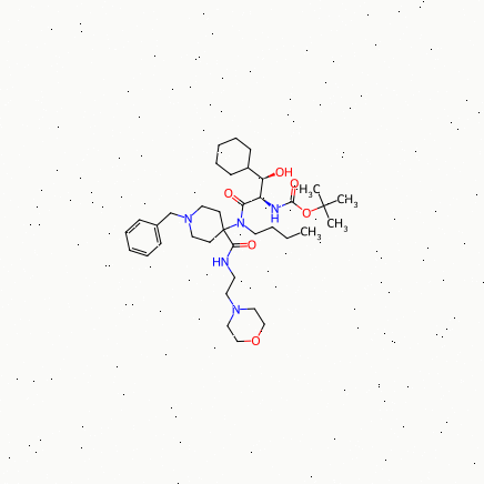 CCCCN(C(=O)[C@H](NC(=O)OC(C)(C)C)[C@H](O)C1CCCCC1)C1(C(=O)NCCN2CCOCC2)CCN(Cc2ccccc2)CC1